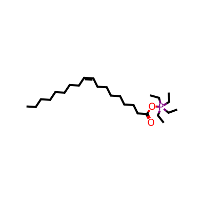 CCCCCCCC/C=C\CCCCCCCC(=O)OP(CC)(CC)(CC)CC